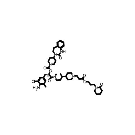 Cc1cc(C[C@@H](OC(=O)N2CCC(N3CCc4ccccc4NC3=O)CC2)C(=O)N(C)CCC(C)C2CCN(CCC(=O)OCCCN3CCCCC3=O)CC2)cc(Cl)c1N